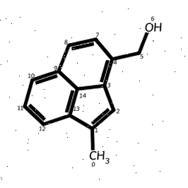 CC1=Cc2c(CO)ccc3cccc1c23